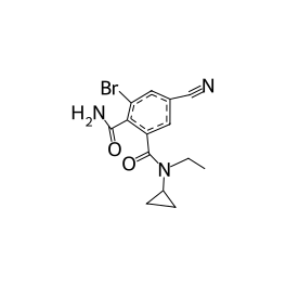 CCN(C(=O)c1cc(C#N)cc(Br)c1C(N)=O)C1CC1